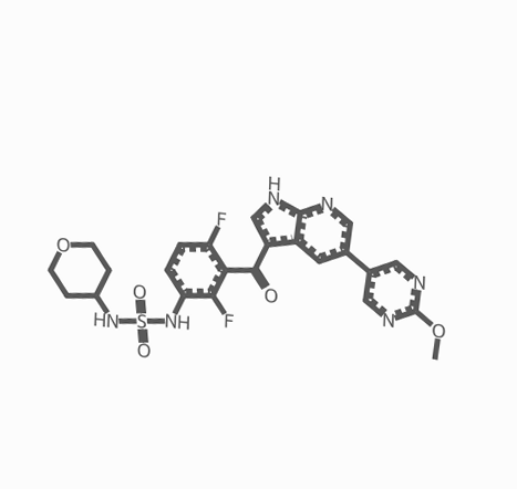 COc1ncc(-c2cnc3[nH]cc(C(=O)c4c(F)ccc(NS(=O)(=O)NC5CCOCC5)c4F)c3c2)cn1